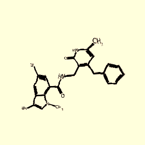 Cc1cc(Cc2ccccc2)c(CNC(=O)c2cc(Br)cc3c(C(C)C)cn(C)c23)c(=O)[nH]1